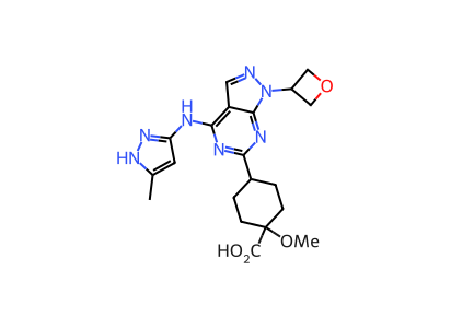 COC1(C(=O)O)CCC(c2nc(Nc3cc(C)[nH]n3)c3cnn(C4COC4)c3n2)CC1